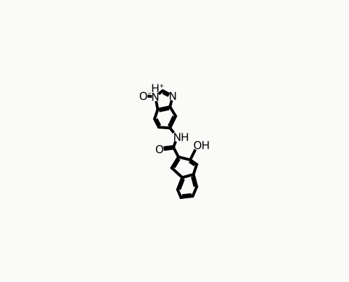 O=C(Nc1ccc2c(c1)N=C[NH+]2[O-])c1cc2ccccc2cc1O